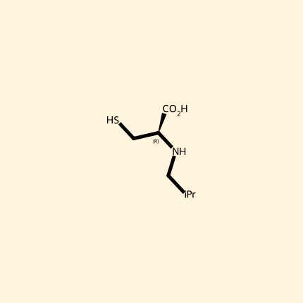 CC(C)CN[C@@H](CS)C(=O)O